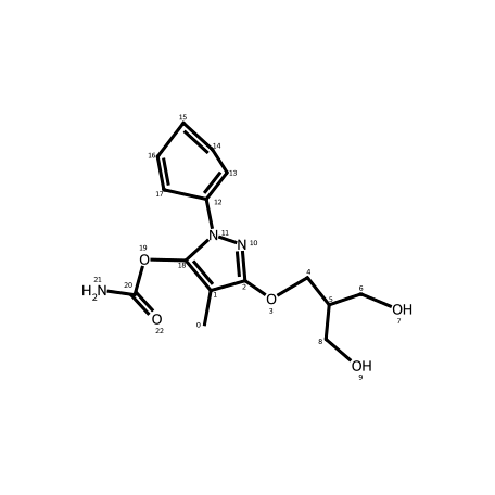 Cc1c(OCC(CO)CO)nn(-c2ccccc2)c1OC(N)=O